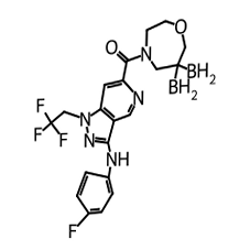 BC1(B)COCCN(C(=O)c2cc3c(cn2)c(Nc2ccc(F)cc2)nn3CC(F)(F)F)C1